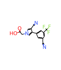 N#Cc1cc(-c2cn(CC(=O)O)cc2C#N)cc(C(F)(F)F)c1